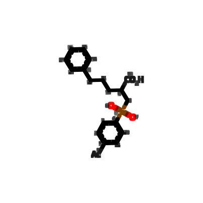 CC(=O)c1ccc(S(=O)(=O)CC(CCCc2ccccc2)C(=O)O)cc1